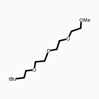 COCCOCCOCCOCCC(C)(C)C